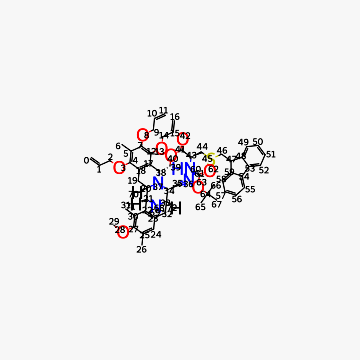 C=CCOc1c(C)c(OCC=C)c(OCC=C)c2c1C[C@H]1[C@H]3c4c(cc(C)c(OC)c4C)C[C@@H]([C@H](C#N)N1[C@H]2COC(=O)[C@@H](CSCC1c2ccccc2-c2ccccc21)NC(=O)OC(C)(C)C)N3C